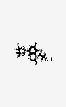 CC1COc2c(B3OC(C)(C)C(C)(C)O3)cc(F)c3nc(C(C)(C)O)n1c23